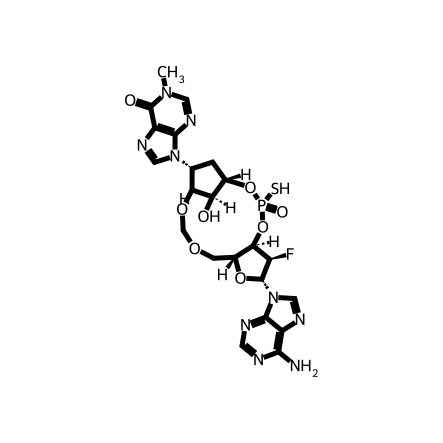 Cn1cnc2c(ncn2[C@@H]2C[C@@H]3OP(=O)(S)O[C@H]4[C@@H](F)[C@H](n5cnc6c(N)ncnc65)O[C@@H]4COCO[C@@H]2[C@@H]3O)c1=O